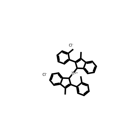 CC1=C(c2ccccc2C)[CH]([Zr+2][CH]2C(c3ccccc3C)=C(C)c3ccccc32)c2ccccc21.[Cl-].[Cl-]